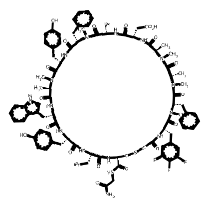 CC(C)C[C@@H]1NC(=O)[C@H](Cc2ccc(O)cc2)NC(=O)[C@H](Cc2c[nH]c3ccccc23)NC(=O)[C@@H](C)N(C)C(=O)[C@H](Cc2ccc(O)cc2)NC(=O)[C@H](Cc2ccccc2)N(C)C(=O)[C@H](C(C)C)NC(=O)[C@H](CC(=O)O)NC(=O)[C@@H](C)N(C)C(=O)[C@H](C)N(C)C(=O)[C@H](Cc2ccccc2)N(C)C(=O)[C@H](Cc2cc(F)c(F)c(F)c2)NC(=O)CSC[C@@H](C(=O)NCC(N)=O)NC1=O